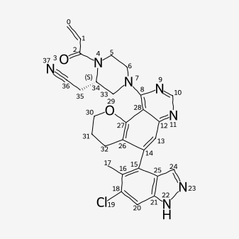 C=CC(=O)N1CCN(c2ncnc3cc(-c4c(C)c(Cl)cc5[nH]ncc45)c4c(c23)OCCC4)C[C@@H]1CC#N